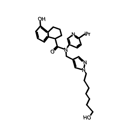 CC(C)c1ccc(N(Cc2cnn(CCCCCCCO)c2)C(=O)C2CCCc3c(O)cccc32)cn1